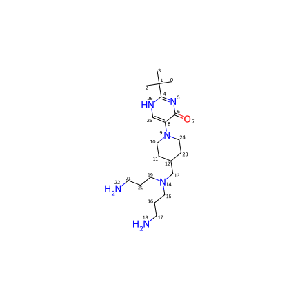 CC(C)(C)c1nc(=O)c(N2CCC(CN(CCCN)CCCN)CC2)c[nH]1